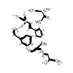 C=C(C)C(=O)[O-].C=CC(=C)C.C=CC(=C)C.C=Cc1ccccc1.O=S(=O)([O-])C=Cc1ccccc1.[Na+].[Na+]